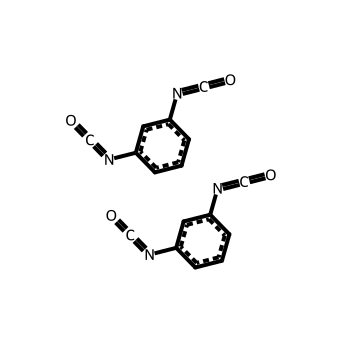 O=C=Nc1cccc(N=C=O)c1.O=C=Nc1cccc(N=C=O)c1